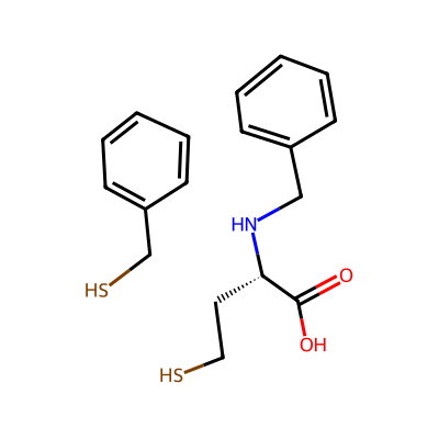 O=C(O)[C@H](CCS)NCc1ccccc1.SCc1ccccc1